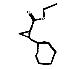 CCOC(=O)C1CC1C1CCCCC1